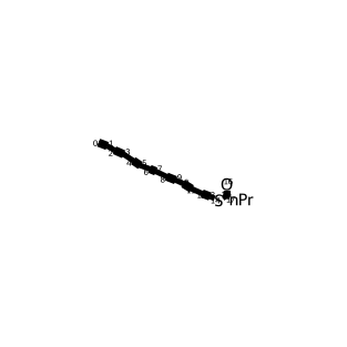 C#CC#CC#CC#CC#CC#CC#CSC(=O)CCC